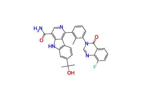 Cc1c(-c2ncc(C(N)=O)c3[nH]c4cc(C(C)(C)O)ccc4c23)cccc1-n1cnc2c(F)cccc2c1=O